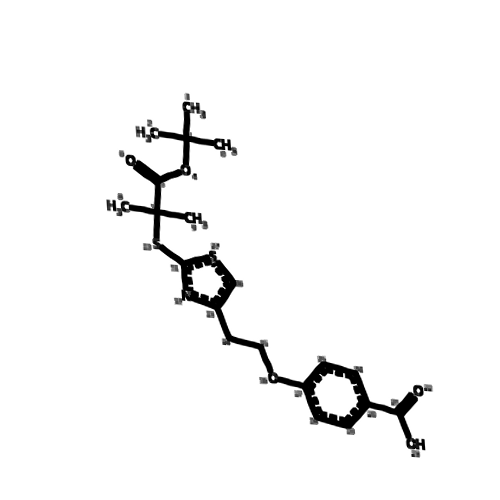 CC(C)(C)OC(=O)C(C)(C)Sc1nc(CCOc2ccc(C(=O)O)cc2)cs1